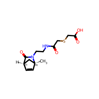 C[C@]12C=C[C@H](C1)C(=O)N2CCNC(=O)CSCC(=O)O